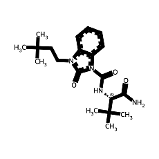 CC(C)(C)CCn1c(=O)n(C(=O)N[C@H](C(N)=O)C(C)(C)C)c2ccccc21